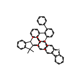 CC1(C)C2=CC(N(c3ccc4c(c3)sc3ccccc34)c3cccc(-c4ccccc4)c3-c3ccccc3-c3ccccc3)=CCC2c2ccccc21